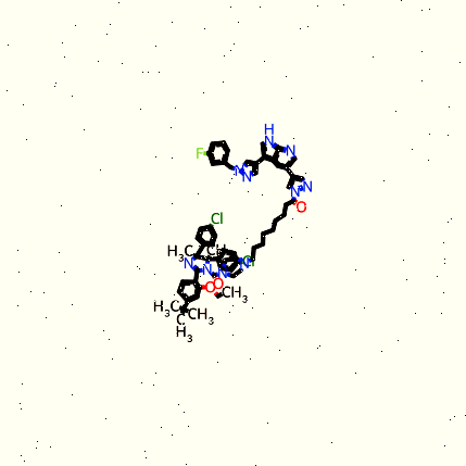 CCOc1cc(C(C)(C)C)ccc1C1=N[C@](C)(c2ccc(Cl)cc2)[C@](C)(c2ccc(Cl)cc2)N1C(=O)N1CCN(CCCCCCCCC(=O)n2cc(-c3cnc4[nH]cc(-c5cnn(Cc6cccc(F)c6)c5)c4c3)cn2)CC1